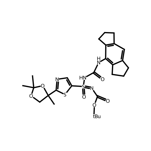 CC(C)(C)OC(=O)N=S(=O)(NC(=O)Nc1c2c(cc3c1CCC3)CCC2)c1cnc(C2(C)COC(C)(C)O2)s1